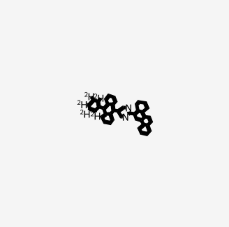 [2H]c1c([2H])c([2H])c(-c2c3ccccc3c(-c3cnc(-c4cc5c6ccccc6ccc5c5ccccc45)nc3)c3ccccc23)c([2H])c1[2H]